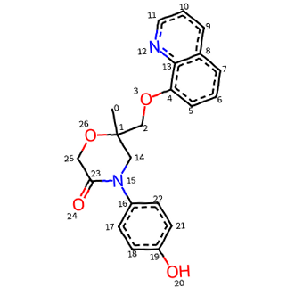 CC1(COc2cccc3cccnc23)CN(c2ccc(O)cc2)C(=O)CO1